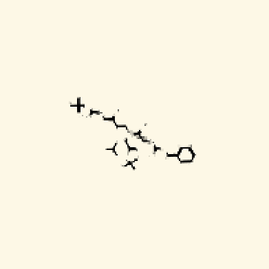 CC(C)C[C@@H](C(=O)OC(C)(C)C)N(CCC(=O)CNC(=O)OC(C)(C)C)C(=O)CNC(=O)OCc1ccccc1